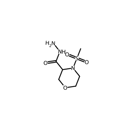 CS(=O)(=O)N1CCOCC1C(=O)NN